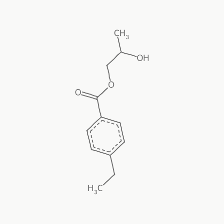 CCc1ccc(C(=O)OCC(C)O)cc1